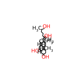 CC(CO)CCC[C@](C)(O)[C@H]1CC[C@H]2[C@@H]3C[C@H](O)[C@H]4C[C@@H](O)CC[C@]4(C)[C@H]3CC[C@@]21C